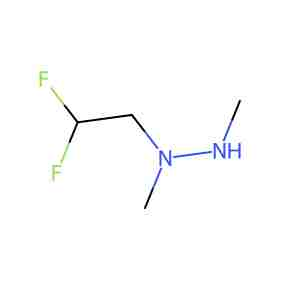 CNN(C)CC(F)F